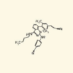 CCCCNc1nc(Nc2ccc(C#N)cc2)nc2c(-c3c(C)cc(C=CC#N)cc3C)cccc12